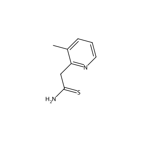 Cc1cccnc1CC(N)=S